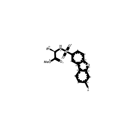 COC(=O)[C@H](NS(=O)(=O)c1ccc2oc3cc(I)ccc3c2c1)C(C)C